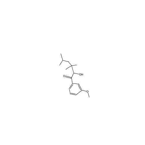 COc1cccc(C(=O)C(O)C(C)(C)CC(C)C)c1